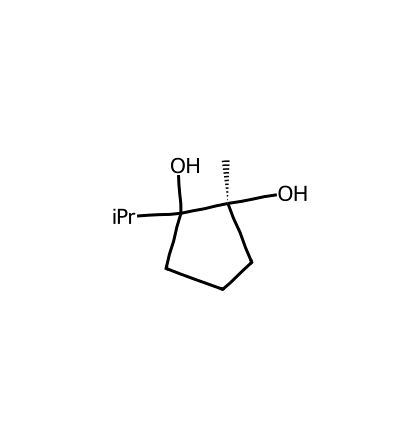 CC(C)C1(O)CCC[C@]1(C)O